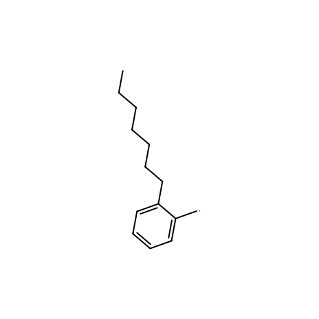 [CH2]c1ccccc1CCCCCCC